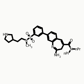 CCCN(CCC)C(=O)C1=Cc2ccc(-c3cccc(S(=O)(=O)N(C)CCC4CCNC4)c3)cc2N=C(N)C1